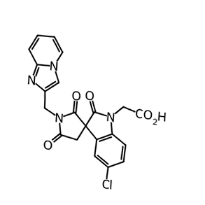 O=C(O)CN1C(=O)C2(CC(=O)N(Cc3cn4ccccc4n3)C2=O)c2cc(Cl)ccc21